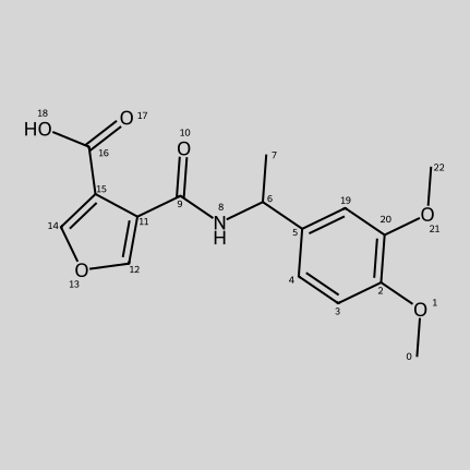 COc1ccc(C(C)NC(=O)c2cocc2C(=O)O)cc1OC